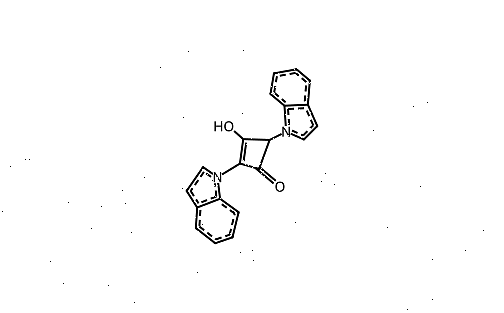 O=C1C(n2ccc3ccccc32)=C(O)C1n1ccc2ccccc21